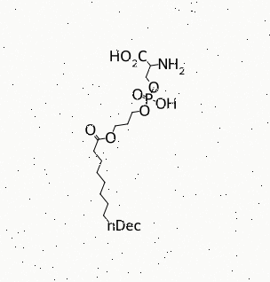 CCCCCCCCCCCCCCCCCC(=O)OCCCOP(=O)(O)OCC(N)C(=O)O